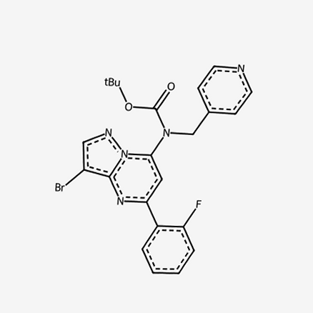 CC(C)(C)OC(=O)N(Cc1ccncc1)c1cc(-c2ccccc2F)nc2c(Br)cnn12